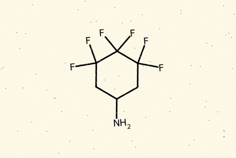 NC1CC(F)(F)C(F)(F)C(F)(F)C1